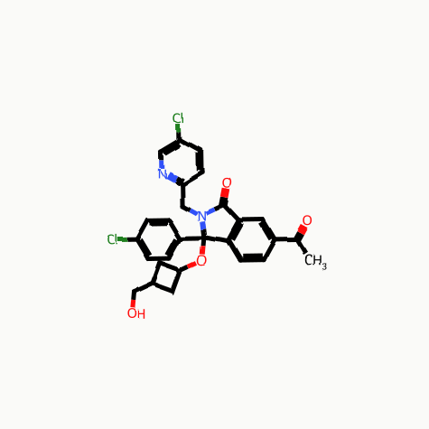 CC(=O)c1ccc2c(c1)C(=O)N(Cc1ccc(Cl)cn1)C2(OC1CC(CO)C1)c1ccc(Cl)cc1